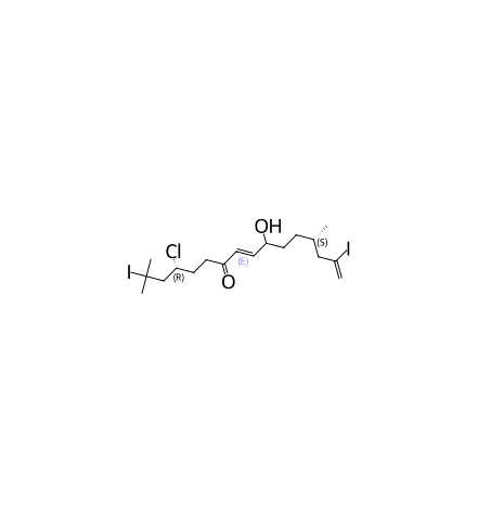 C=C(I)C[C@@H](C)CCC(O)/C=C/C(=O)CC[C@@H](Cl)CC(C)(C)I